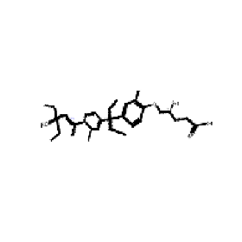 CCC(O)(/C=C(\C)c1ccc(C(CC)(CC)c2ccc(OC[C@@H](O)CCC(=O)O)c(C)c2)cc1C)CC